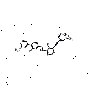 C=N/C=C(C#Cc1ncnc(NCc2cnc(-c3ccnc(C)c3)c(F)c2)c1F)\C=C/C